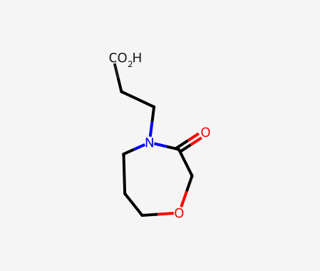 O=C(O)CCN1CCCOCC1=O